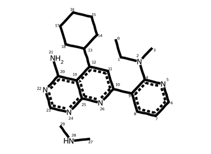 CCN(C)c1ncccc1-c1cc(C2CCCCC2)c2c(N)ncnc2n1.CNC